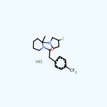 CC1(N2CCC(F)C2)CCCCN1C(=O)Cc1ccc(C(F)(F)F)cc1.Cl